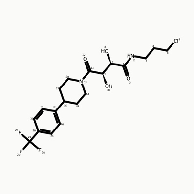 O=C(NCCCCl)[C@H](O)[C@@H](O)C(=O)N1CCC(c2ccc(C(F)(F)F)cc2)CC1